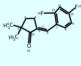 CC1(C)CC/C(=C\c2ccc(F)cc2F)C1=O